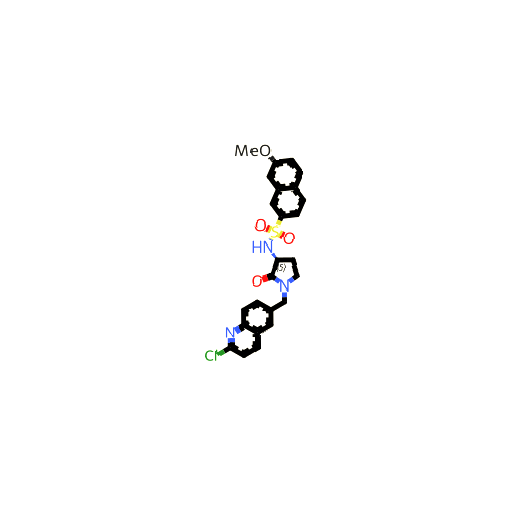 COc1ccc2ccc(S(=O)(=O)N[C@H]3CCN(Cc4ccc5nc(Cl)ccc5c4)C3=O)cc2c1